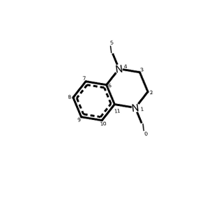 IN1CCN(I)c2ccccc21